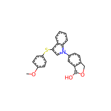 COc1ccc(Sc2cn(-c3ccc4c(c3)B(O)OC4)c3ccccc23)cc1